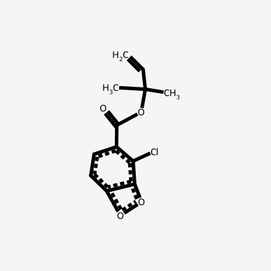 C=CC(C)(C)OC(=O)c1ccc2ooc2c1Cl